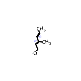 C/C=C/C(C)=C/C[O]